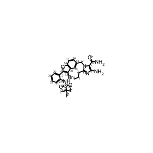 CCCc1nc(N)c(C(N)=O)n1Cc1ccc2oc(-c3ccccc3NS(=O)(=O)C(F)(F)F)c(Br)c2c1